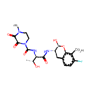 CCCN1CCN(C(=O)N[C@@H](C(=O)N[C@H]2Cc3ccc(F)c(C(=O)O)c3OB2O)[C@@H](C)O)C(=O)C1=O